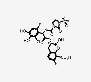 CS(=O)(=O)N1CCN(C(=O)NC(C(=O)N[C@H]2Cc3ccc(F)c(C(=O)O)c3OB2O)c2c(F)cc(O)c(O)c2Cl)C1=O